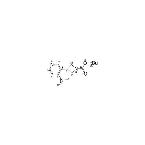 CN(C)c1ccncc1C1CN(C(=O)OC(C)(C)C)C1